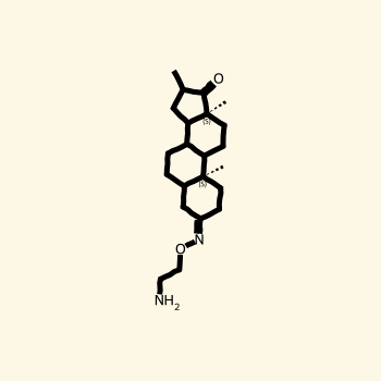 CC1CC2C3CCC4CC(=NOCCN)CC[C@]4(C)C3CC[C@]2(C)C1=O